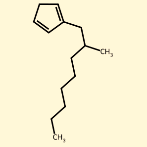 CCCCCCC(C)CC1=CCC=C1